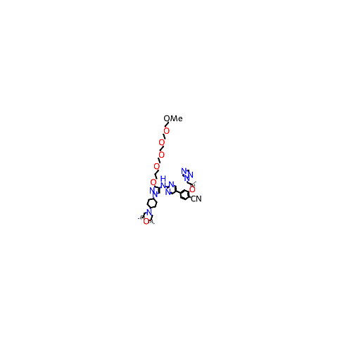 COCCOCCOCCOCCOCCCOc1nn(C2CCC(N3C[C@@H](C)O[C@@H](C)C3)CC2)cc1Nc1ncc(-c2ccc(C#N)c(O[C@@H](C)Cn3cncn3)c2)cn1